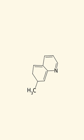 CC1C=c2ncccc2=CC1